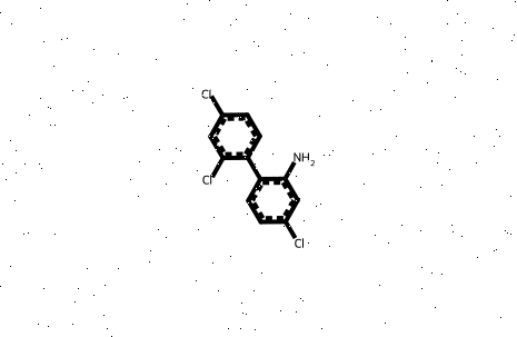 Nc1cc(Cl)ccc1-c1ccc(Cl)cc1Cl